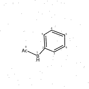 CC(=O)Bc1ccccc1